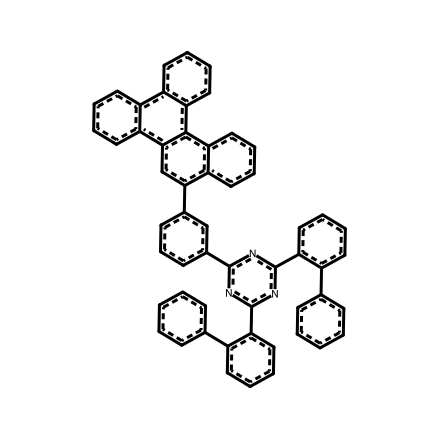 c1ccc(-c2ccccc2-c2nc(-c3cccc(-c4cc5c6ccccc6c6ccccc6c5c5ccccc45)c3)nc(-c3ccccc3-c3ccccc3)n2)cc1